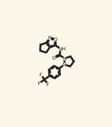 O=C(Nc1onc2c1CCC2)N1CCCN1c1ccc(C(F)(F)F)cc1